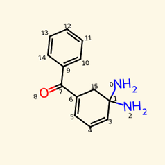 NC1(N)C=CC=C(C(=O)c2ccccc2)C1